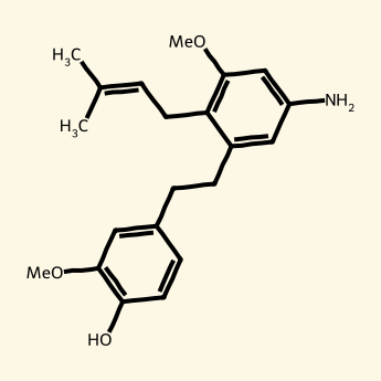 COc1cc(CCc2cc(N)cc(OC)c2CC=C(C)C)ccc1O